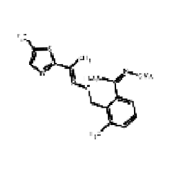 CO/N=C(/C(=O)O)c1cccc(C)c1CO/N=C(\C)c1ncc(C(F)(F)F)s1